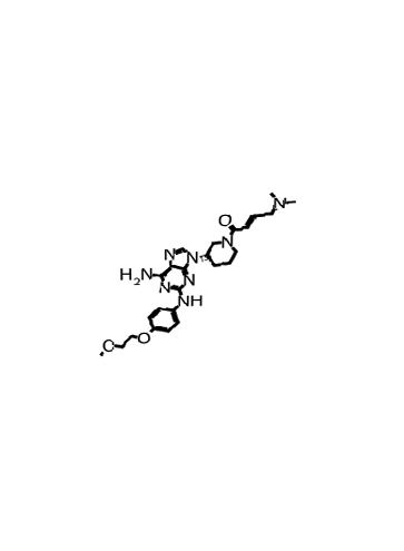 COCCOc1ccc(Nc2nc(N)c3ncn([C@H]4CCCN(C(=O)C=CCN(C)C)C4)c3n2)cc1